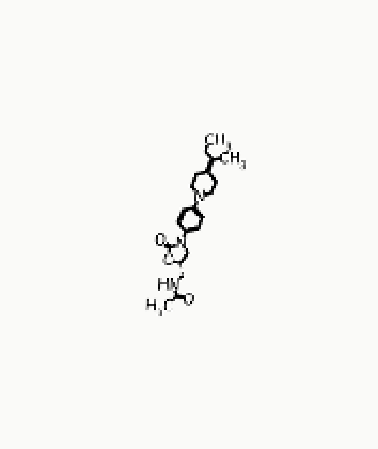 CCC(C)=C1CCN(c2ccc(N3C[C@H](CNC(C)=O)OC3=O)cc2)CC1